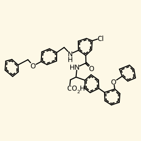 O=C(O)CC(NC(=O)c1cc(Cl)ccc1NCc1ccc(OCc2ccccc2)cc1)c1ccc(-c2ccccc2Oc2ccccc2)cc1